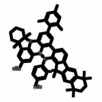 CCCCc1ccc(N2B3c4cc(CCCC)cc5c4N(c4cc(-c6c(C)cc(C)cc6C)cc(c43)-c3ccc4c(c32)C(C)(C)c2cc3c(cc2-4)C(C)(C)CCC3(C)C)C2(C)CCCCC52C)c(C)c1